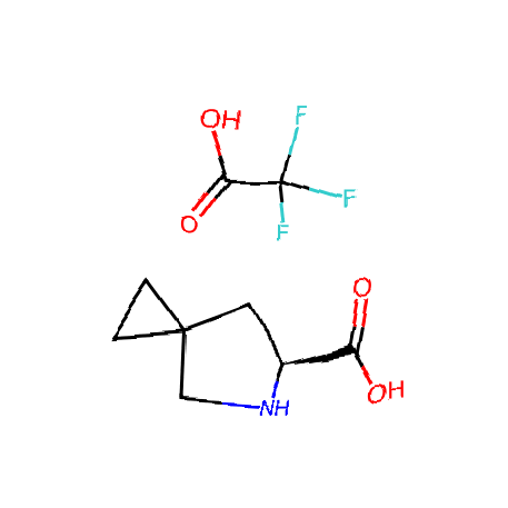 O=C(O)C(F)(F)F.O=C(O)[C@@H]1CC2(CC2)CN1